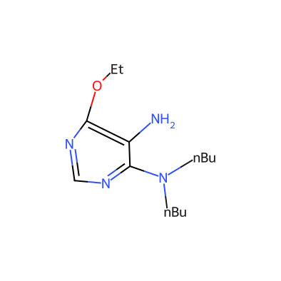 CCCCN(CCCC)c1ncnc(OCC)c1N